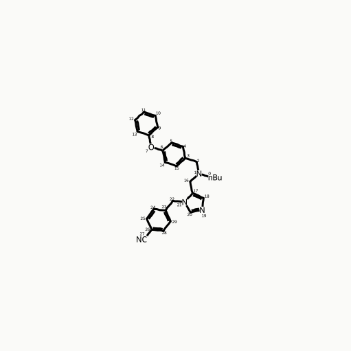 CCCCN(Cc1ccc(Oc2ccccc2)cc1)Cc1cncn1Cc1ccc(C#N)cc1